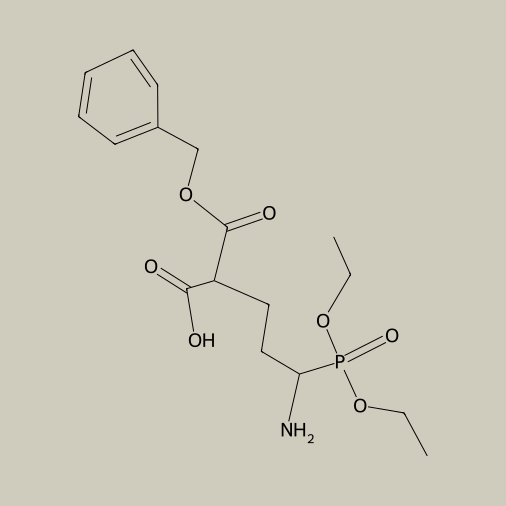 CCOP(=O)(OCC)C(N)CCC(C(=O)O)C(=O)OCc1ccccc1